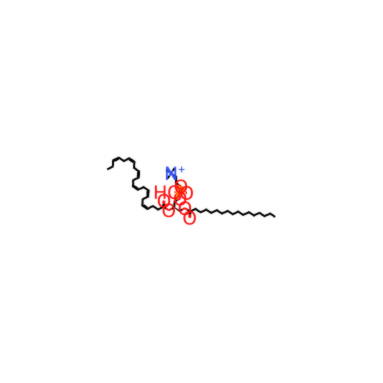 CC/C=C\C/C=C\C/C=C\C/C=C\C/C=C\C/C=C\CCC(=O)O[C@H](COC(=O)CCCCCCCCCCCCCCCC)COP(=O)(O)OCC[N+](C)(C)C